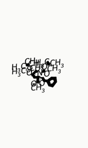 COC(=O)[C@]1(CCc2ccccc2)C[C@H](O[Si](C)(C)C(C)(C)C)CN1C(=O)OC(C)(C)C